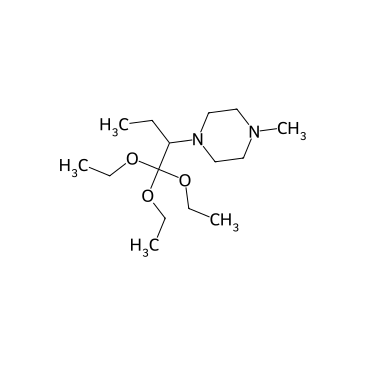 CCOC(OCC)(OCC)C(CC)N1CCN(C)CC1